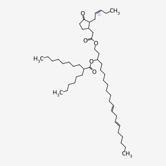 CC/C=C\CC1C(=O)CCC1CC(=O)OCCC(CCCCCCCCC=CCC=CCCCCC)OC(=O)C(CCCCCC)CCCCCCCC